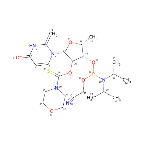 C=C1NC(=O)C=CN1[C@@H]1O[C@H](C)[C@H](OP(OCC#N)N(C(C)C)C(C)C)C1OC(=S)N1CCOCC1